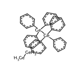 [GeH3][GeH3].c1cc[c]([Ge]([c]2ccccc2)([c]2ccccc2)[Ge]([c]2ccccc2)([c]2ccccc2)[c]2ccccc2)cc1